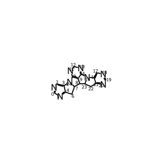 c1ncc2c(n1)CC1C3c4c(ncnc4N4c5cncnc5CC34)N21